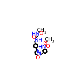 CCOC(=O)Nc1cccc(Cn2nc(-c3ccc(CNC(=O)CNC(C)=O)cc3)ccc2=O)c1